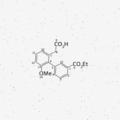 CCOC(=O)c1cccc(-c2c(CC(=O)O)cccc2OC)c1